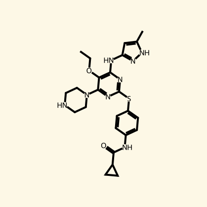 CCOc1c(Nc2cc(C)[nH]n2)nc(Sc2ccc(NC(=O)C3CC3)cc2)nc1N1CCNCC1